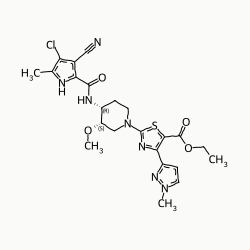 CCOC(=O)c1sc(N2CC[C@@H](NC(=O)c3[nH]c(C)c(Cl)c3C#N)[C@@H](OC)C2)nc1-c1ccn(C)n1